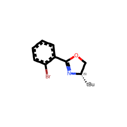 CC(C)(C)[C@H]1COC(c2ccccc2Br)=N1